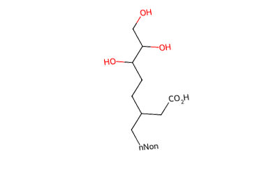 CCCCCCCCCCC(CCC(O)C(O)CO)CC(=O)O